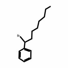 CCCCCCCC(Br)c1ccccc1